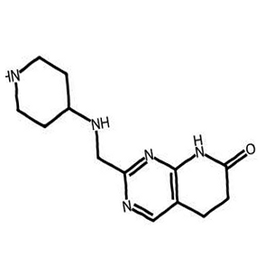 O=C1CCc2cnc(CNC3CCNCC3)nc2N1